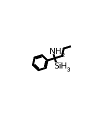 CCCC(N)([SiH3])c1ccccc1